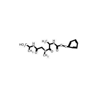 CC(NC(=O)CN(C)C(=O)C(C)NC(=O)OCc1ccccc1)C(=O)O